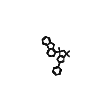 CC1(C)CC(C)(c2cccc3c2Cc2ccccc2-3)C2=C1C=C(c1ccccc1)C2